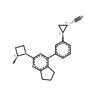 C[C@H]1CCN1c1nc2c(c(-c3cccc([C@H]4C[C@@H]4C#N)c3)n1)CCC2